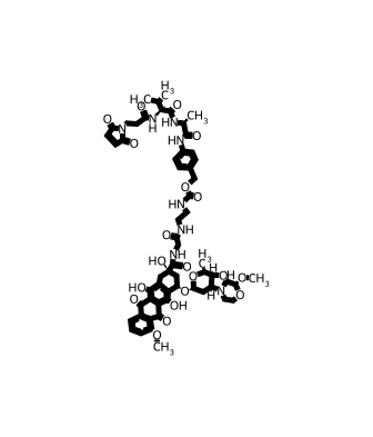 COc1cccc2c1C(=O)c1c(O)c3c(c(O)c1C2=O)C[C@@](O)(C(=O)NCC(=O)NCCNC(=O)OCc1ccc(NC(=O)[C@H](C)NC(=O)[C@@H](NC(=O)CCN2C(=O)C=CC2=O)C(C)C)cc1)C[C@@H]3O[C@H]1C[C@H]2[C@H](O[C@@H]3[C@@H](OC)OCCN32)[C@H](C)O1